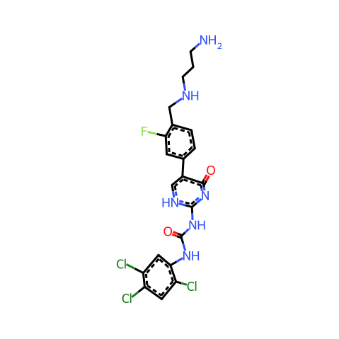 NCCCNCc1ccc(-c2c[nH]c(NC(=O)Nc3cc(Cl)c(Cl)cc3Cl)nc2=O)cc1F